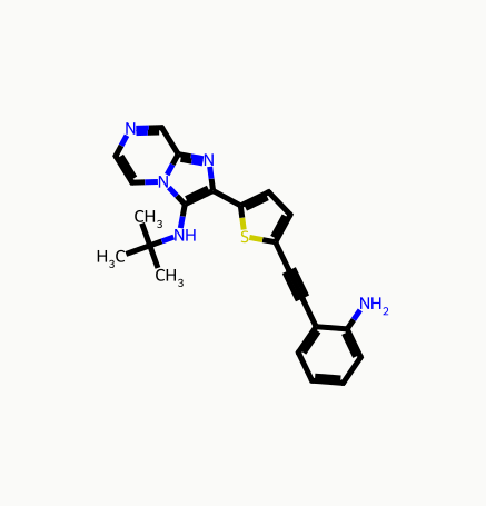 CC(C)(C)Nc1c(-c2ccc(C#Cc3ccccc3N)s2)nc2cnccn12